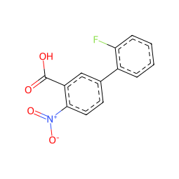 O=C(O)c1cc(-c2ccccc2F)ccc1[N+](=O)[O-]